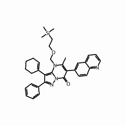 Cc1c(-c2ccc3ncccc3c2)c(=O)n2nc(-c3ccccc3)c(C3=CCCCC3)c2n1COCC[Si](C)(C)C